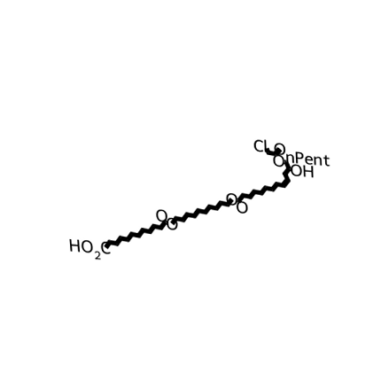 CCCCCC(OC(=O)CCl)C(O)C/C=C\CCCCCCCC(=O)OCCCCCCCCCCOC(=O)CCCCCCCCCCC(=O)O